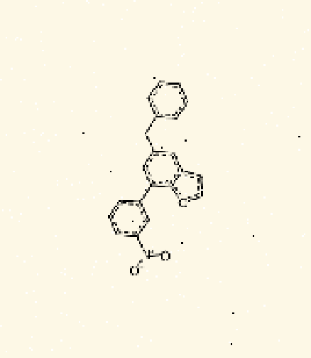 O=[N+]([O-])c1cccc(-c2cc(Cc3ccccc3)cc3ccoc23)c1